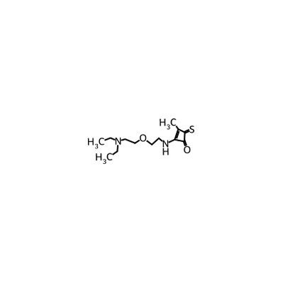 CCN(CC)CCOCCNc1c(C)c(=S)c1=O